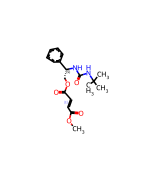 COC(=O)/C=C/C(=O)OC[C@@H](NC(=O)NC(C)(C)C)c1ccccc1